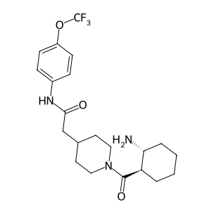 N[C@@H]1CCCC[C@H]1C(=O)N1CCC(CC(=O)Nc2ccc(OC(F)(F)F)cc2)CC1